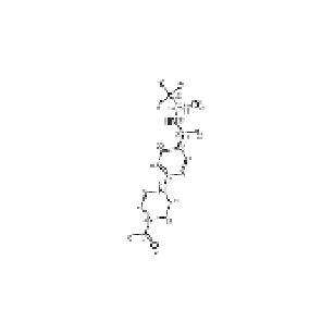 CC(=O)N1CCN(c2ccc([C@H](C)N[S@@+]([O-])C(C)(C)C)cc2)CC1